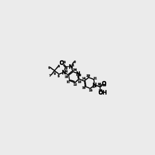 Cn1c(=O)n(CC(C)(C)C)c2ccc(C3=CCN(C(=O)O)CC3)nc21